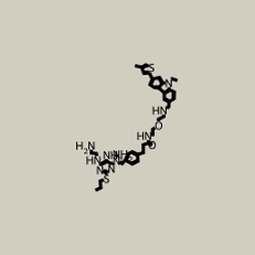 CCCSc1nc(NCCN)c(N)c(N(N)Cc2ccc(CCC(=O)NCCOCCNCc3ccc4c(c3)c3ccc(-c5cc(C)cs5)cc3n4CC)cc2)n1